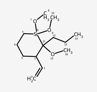 C=CC1CCC[Si](OC)(OC)C1(CCC)OC